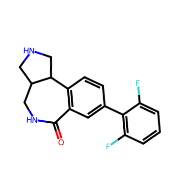 O=C1NCC2CNCC2c2ccc(-c3c(F)cccc3F)cc21